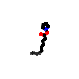 CCCCCCCCCCCCC(=O)On1cccc1